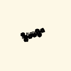 CC1(C)c2cc(-c3c4ccccc4c(-c4ccccc4)c4ccccc34)ccc2-c2ccc(-c3cc4c5ccccc5sc4c4ccccc34)cc21